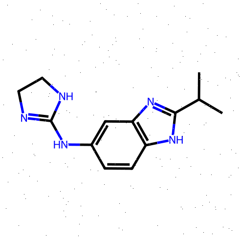 CC(C)c1nc2cc(NC3=NCCN3)ccc2[nH]1